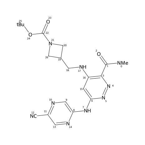 CNC(=O)c1nnc(Nc2cnc(C#N)cn2)cc1NCC1CN(C(=O)OC(C)(C)C)C1